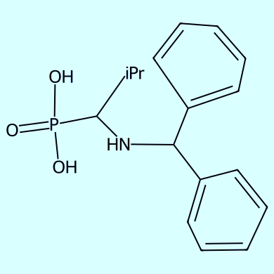 CC(C)C(NC(c1ccccc1)c1ccccc1)P(=O)(O)O